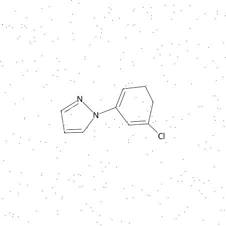 ClC1=CC(n2cccn2)=CCC1